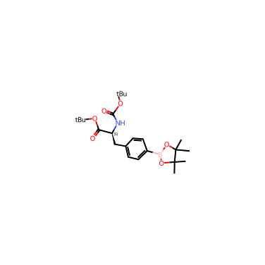 CC(C)(C)OC(=O)N[C@@H](Cc1ccc(B2OC(C)(C)C(C)(C)O2)cc1)C(=O)OC(C)(C)C